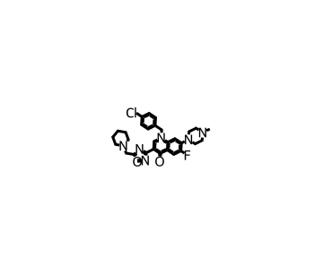 CN1CCN(c2cc3c(cc2F)c(=O)c(-c2noc(CN4CCCCC4)n2)cn3Cc2ccc(Cl)cc2)CC1